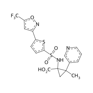 CC1(c2cccnc2)CC1(NS(=O)(=O)c1ccc(-c2cc(C(F)(F)F)on2)s1)C(=O)O